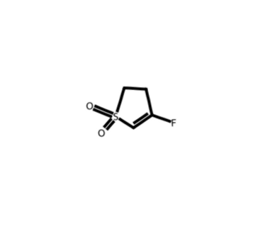 O=S1(=O)C=C(F)CC1